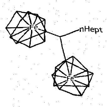 CCCCCCCC([C]12[CH]3[CH]4[CH]5[CH]1[Fe]45321678[CH]2[CH]1[CH]6[CH]7[CH]28)[C]12[CH]3[CH]4[CH]5[CH]1[Fe]45321678[CH]2[CH]1[CH]6[CH]7[CH]28